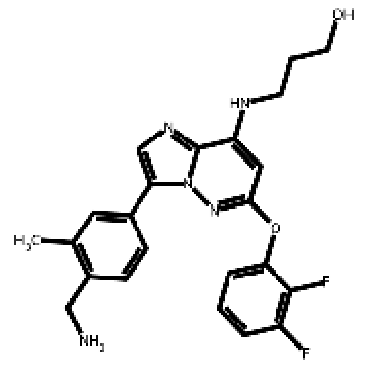 Cc1cc(-c2cnc3c(NCCCO)cc(Oc4cccc(F)c4F)nn23)ccc1CN